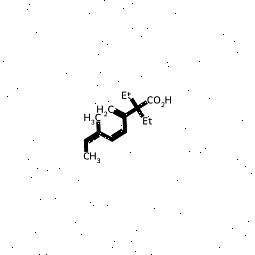 C=C(/C=C\C(C)=C/C)C(CC)(CC)C(=O)O